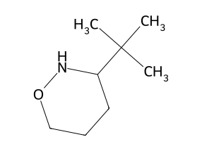 CC(C)(C)C1CCCON1